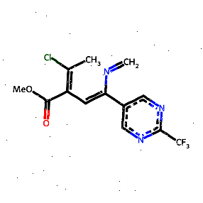 C=N/C(=C\C(C(=O)OC)=C(/C)Cl)c1cnc(C(F)(F)F)nc1